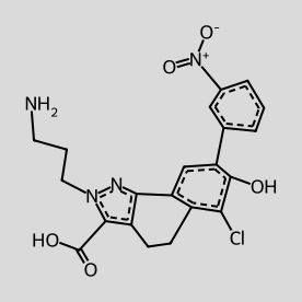 NCCCn1nc2c(c1C(=O)O)CCc1c-2cc(-c2cccc([N+](=O)[O-])c2)c(O)c1Cl